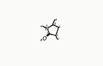 CC1CC(C)N(C)C1=O